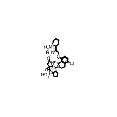 C[C@]1(C(=O)O)CCC[C@H]1C(=O)N1CCc2c(Cl)ccc(OC/C(N)=C3\CCCCN3N)c2[C@H]1CN1CC2(CC2)CC1=O